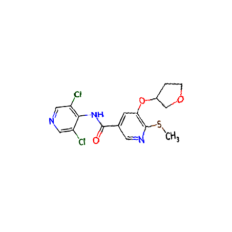 CSc1ncc(C(=O)Nc2c(Cl)cncc2Cl)cc1OC1CCOC1